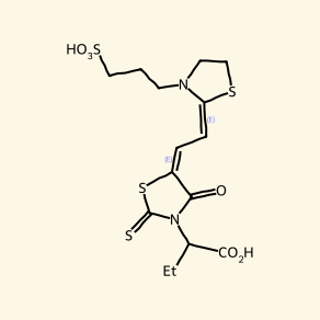 CCC(C(=O)O)N1C(=O)/C(=C\C=C2\SCCN2CCCS(=O)(=O)O)SC1=S